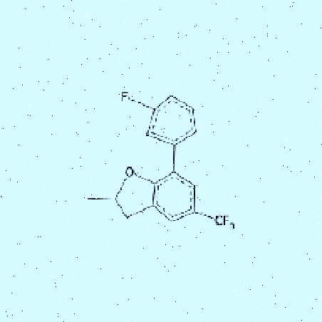 CC1Cc2cc(C(F)(F)F)cc(-c3cccc(F)c3)c2O1